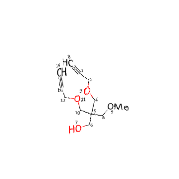 C#CCOCC(CO)(COC)COCC#C